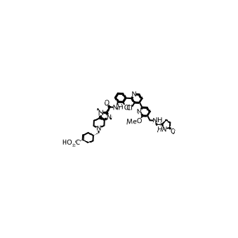 COc1nc(-c2ccnc(-c3cccc(NC(=O)c4nc5c(n4C)CCN(C[C@H]4CC[C@@H](C(=O)O)CC4)C5)c3Cl)c2Cl)ccc1CNC[C@H]1CCC(=O)N1